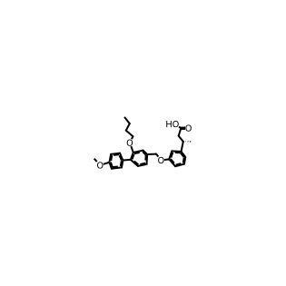 CCCCOc1cc(COc2cccc([C@@H](C)CC(=O)O)c2)ccc1-c1ccc(OC)cc1